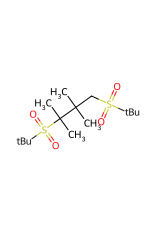 CC(C)(CS(=O)(=O)C(C)(C)C)C(C)(C)S(=O)(=O)C(C)(C)C